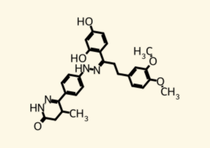 COc1ccc(CCC(=NNc2ccc(C3=NNC(=O)CC3C)cc2)c2ccc(O)cc2O)cc1OC